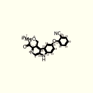 COCc1c(C(=O)OC(C)C)ncc2[nH]c3ccc(Oc4ccccc4C#N)cc3c12